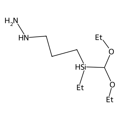 CCOC(OCC)[SiH](CC)CCCNN